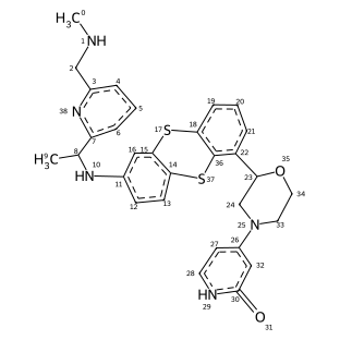 CNCc1cccc(C(C)Nc2ccc3c(c2)Sc2cccc(C4CN(c5cc[nH]c(=O)c5)CCO4)c2S3)n1